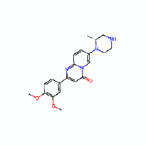 COc1ccc(-c2cc(=O)n3cc(N4CCNC[C@H]4C)ccc3n2)cc1OC